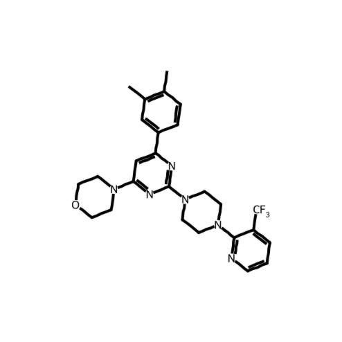 Cc1ccc(-c2cc(N3CCOCC3)nc(N3CCN(c4ncccc4C(F)(F)F)CC3)n2)cc1C